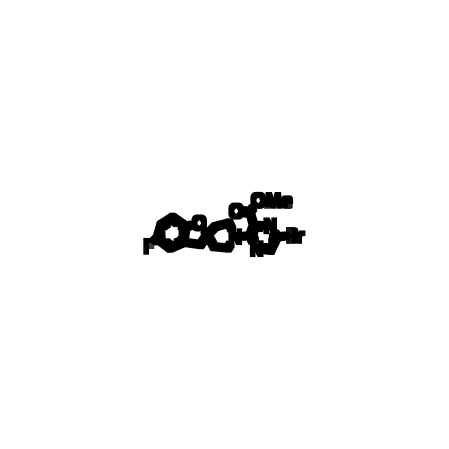 COC(=O)c1nc(Br)cnc1N1CCC2(CC1)Cc1cc(F)ccc1O2